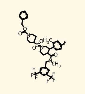 Cc1cc(F)ccc1C1CN(S(=O)(=O)C2CCN(C(=O)OCc3ccccc3)CC2)CCC1C(=O)N(C)Cc1cc(C(F)(F)F)cc(C(F)(F)F)c1